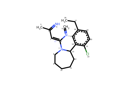 C=N/C(=C\C(C)=N)N1CCCCCC1c1cc(CC)ccc1Cl